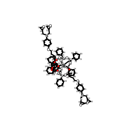 C[Si]1(CCCOc2ccc(N(CC3CO3)CC3CO3)cc2)O[Si]2(c3ccccc3)O[Si]3(c4ccccc4)O[Si]4(c5ccccc5)O[Si](C)(CCCOc5ccc(N(CC6CO6)CC6CO6)cc5)O[Si]5(c6ccccc6)O[Si](c6ccccc6)(O[Si](c6ccccc6)(O1)O[Si](c1ccccc1)(O5)O[Si](c1ccccc1)(O2)O4)O3